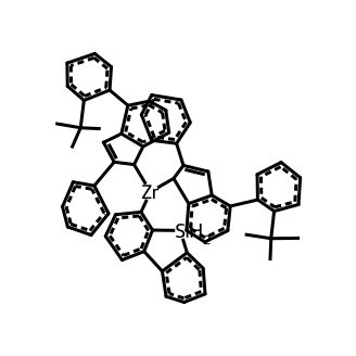 CC(C)(C)c1ccccc1-c1cccc2c1C=C(c1ccccc1)[CH]2[Zr]([c]1cccc2c1[SiH2]c1ccccc1-2)[CH]1C(c2ccccc2)=Cc2c(-c3ccccc3C(C)(C)C)cccc21